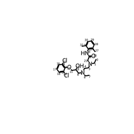 CCN(CCN(CC)CC(O)COc1c(Cl)cccc1Cl)CC(=O)Nc1c(C)cccc1C